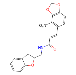 O=C(C=Cc1ccc2c(c1[N+](=O)[O-])OCO2)NCC1Cc2ccccc2O1